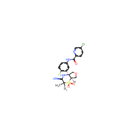 CC1(C)C(=N)N[C@@]2(c3cc(NC(=O)c4ccc(Cl)cn4)ccc3F)COC[C@H]2S1(=O)=O